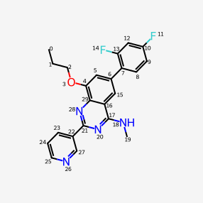 CCCOc1cc(-c2ccc(F)cc2F)cc2c(NC)nc(-c3cccnc3)nc12